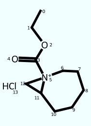 CCOC(=O)[N+]12CCCCCC1C2.Cl